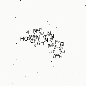 C[C@H]1Cn2c(nnc2C(F)(F)c2ccccc2Cl)-c2cnc([C@@](C)(O)C(F)(F)F)n21